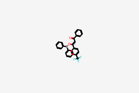 O=C(/C=C(\OB(c1ccccc1)c1ccccc1)c1ccc(C(F)(F)F)cc1)c1ccccc1